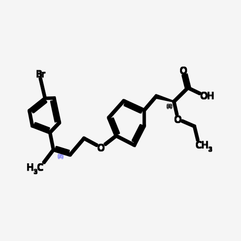 CCO[C@@H](Cc1ccc(OC/C=C(/C)c2ccc(Br)cc2)cc1)C(=O)O